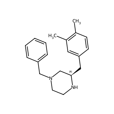 Cc1ccc(C[C@@H]2CN(Cc3ccccc3)CCN2)cc1C